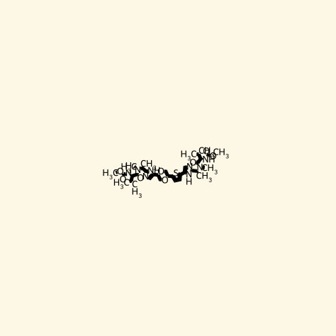 COC(=O)N[C@@H](C(=O)N(C)[C@H](C)c1ncc(-c2ccc(C3COC(c4cnc([C@@H](C)N(C)C(=O)[C@H](NC(=O)OC)C(C)C)[nH]4)CO3)s2)[nH]1)C(C)C